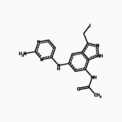 CC(=O)Nc1cc(Nc2ccnc(N)n2)cc2c(CI)n[nH]c12